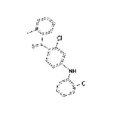 Cc1ccccc1C(=S)c1ccc(Nc2ccccc2Cl)cc1Cl